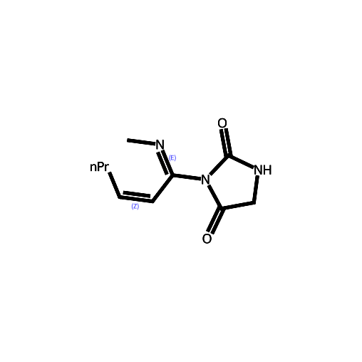 CCC/C=C\C(=N/C)N1C(=O)CNC1=O